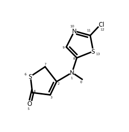 CN(C1=CC(=O)SC1)c1cnc(Cl)s1